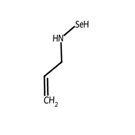 C=CCN[SeH]